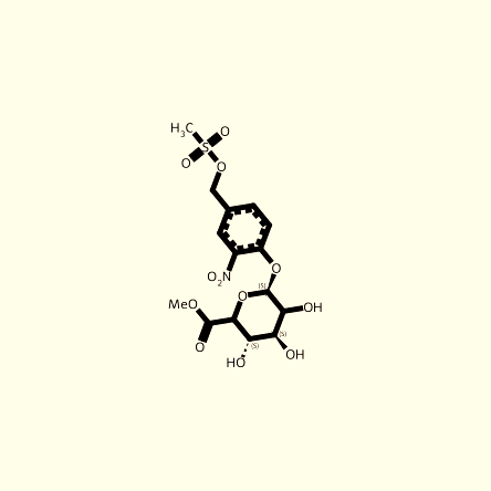 COC(=O)C1O[C@@H](Oc2ccc(COS(C)(=O)=O)cc2[N+](=O)[O-])C(O)[C@@H](O)[C@@H]1O